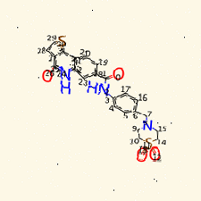 O=C(Nc1ccc(CN2CCS(=O)(=O)CC2)cc1)c1ccc2c(c1)[nH]c(=O)c1ccsc12